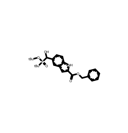 CC(C)(C)OP(=O)(C(O)c1ccc2[nH]c(C(=O)OCc3ccccc3)cc2c1)C(C)(C)C